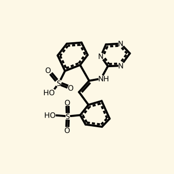 O=S(=O)(O)c1ccccc1C=C(Nc1ncncn1)c1ccccc1S(=O)(=O)O